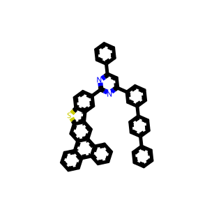 c1ccc(-c2ccc(-c3cccc(-c4cc(-c5ccccc5)nc(-c5ccc6sc7cc8c9ccccc9c9ccccc9c8cc7c6c5)n4)c3)cc2)cc1